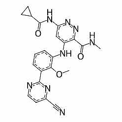 CNC(=O)c1nnc(NC(=O)C2CC2)cc1Nc1cccc(-c2nccc(C#N)n2)c1OC